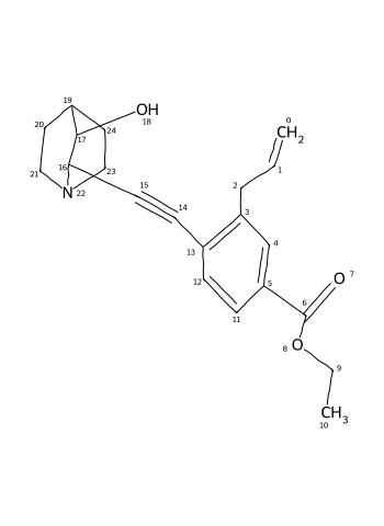 C=CCc1cc(C(=O)OCC)ccc1C#CC1C(O)C2CCN1CC2